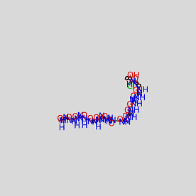 CC(=O)Nc1cc(C(=O)Nc2cc(C(=O)Nc3cn(C)c(C(=O)NCCC(=O)Nc4cc(C(=O)Nc5cn(C)c(C(=O)Nc6cn(C)c(C(=O)NCCCC(=O)Nc7cc(C(=O)Nc8cc(C(=O)NCCC(=O)Nc9cn(C)c(C(=O)Nc%10cc(C(=O)Nc%11ccc%12cc(C(=O)N%13CC(CCl)c%14c%13cc(O)c%13ccccc%14%13)[nH]c%12c%11)n(C)c%10)n9)n(C)c8)n(C)c7)n6)n5)n(C)c4)n3)n(C)c2)n(C)c1